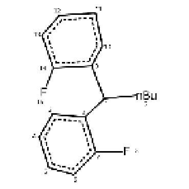 CCCCC(c1ccccc1F)c1ccccc1F